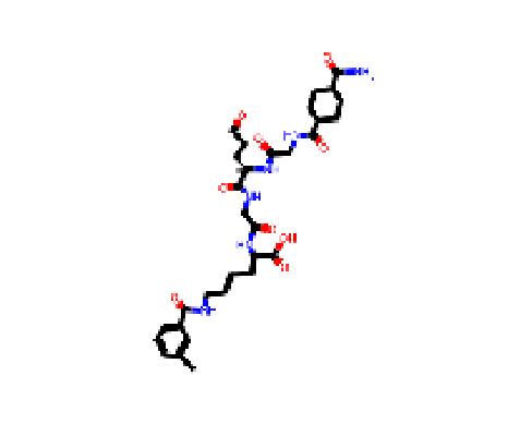 Cc1cccc(C(=O)NCCCCC(NC(=O)CNC(=O)[C@@H](CCC=O)NC(=O)CNC(=O)C2CCC(C(N)=O)CC2)C(=O)O)c1